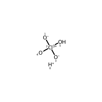 [H+].[O-][Cl+3]([O-])([O-])O